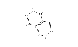 C1CCC2=C(C1)OCCO2